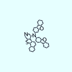 c1ccc2c(c1)ccc1c2sc2cncc(N(c3ccc4c(c3)oc3ccccc34)c3ccc4c(c3)oc3ccccc34)c21